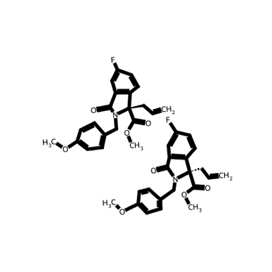 C=CC[C@@]1(C(=O)OC)c2ccc(F)cc2C(=O)N1Cc1ccc(OC)cc1.C=CC[C@]1(C(=O)OC)c2ccc(F)cc2C(=O)N1Cc1ccc(OC)cc1